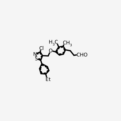 CCc1ccc(-c2snc(Cl)c2COc2ccc(CCC=O)c(C)c2C)cc1